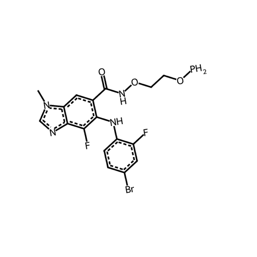 Cn1cnc2c(F)c(Nc3ccc(Br)cc3F)c(C(=O)NOCCOP)cc21